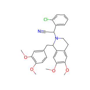 COc1ccc(CC2c3cc(OC)c(OC)cc3CCN2C(C#N)c2ccccc2Cl)cc1OC